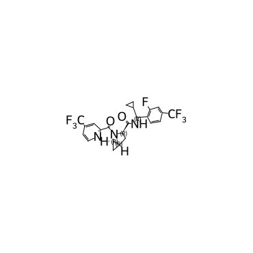 O=C(N[C@@H](c1ccc(C(F)(F)F)cc1F)C1CC1)[C@H]1C[C@H]2C[C@H]2N1C(=O)c1cc(C(F)(F)F)ccn1